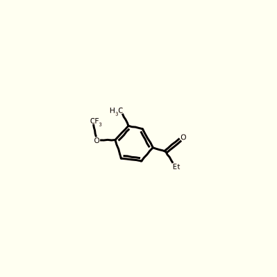 CCC(=O)c1ccc(OC(F)(F)F)c(C)c1